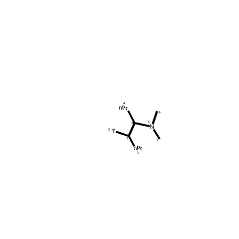 CCCC(F)C(CCC)N(C)C